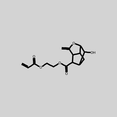 C=CC(=O)OCCOC(=O)C1C2CC3C(OC(=C)C31)C2O